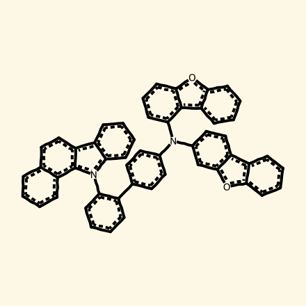 c1ccc(-n2c3ccccc3c3ccc4ccccc4c32)c(-c2ccc(N(c3ccc4c(c3)oc3ccccc34)c3cccc4oc5ccccc5c34)cc2)c1